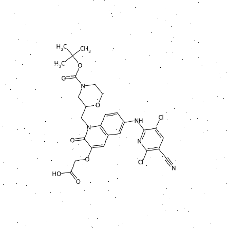 CC(C)(C)OC(=O)N1CCOC(Cn2c(=O)c(OCC(=O)O)cc3cc(Nc4nc(Cl)c(C#N)cc4Cl)ccc32)C1